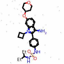 CCC(CC)NS(=O)(=O)Nc1ccc(-c2c(N)c3ccc(OC4CCOCC4)cc3n2C2CCC2)cc1